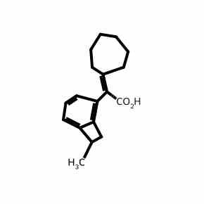 CC1Cc2c(C(C(=O)O)=C3CCCCCC3)cccc21